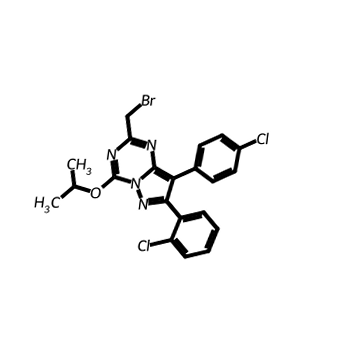 CC(C)Oc1nc(CBr)nc2c(-c3ccc(Cl)cc3)c(-c3ccccc3Cl)nn12